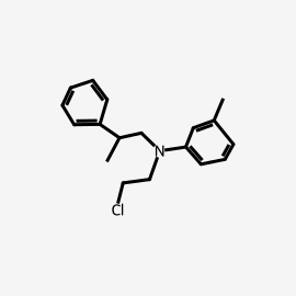 Cc1cccc(N(CCCl)CC(C)c2ccccc2)c1